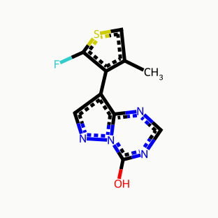 Cc1csc(F)c1-c1cnn2c(O)ncnc12